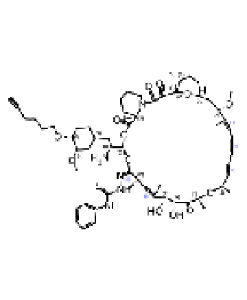 C#CCCCCO[C@@H]1CC[C@@H](C[C@@H](N)[C@@H]2C/C(=N/NC(=S)Nc3ccccc3)[C@H](C)/C=C(\C)[C@@H](O)[C@@H](O)C(=O)[C@H](C)C[C@H](C)/C=C/C=C/C=C(\C)[C@@H](OC)C[C@@H]3CC[C@@H](C)[C@@](O)(O3)C(=O)C(=O)N3CCCC[C@H]3C(=O)O2)C[C@H]1OC